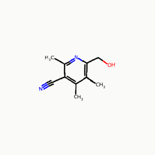 Cc1nc(CO)c(C)c(C)c1C#N